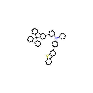 c1ccc(N(c2ccc(-c3ccc4c(c3)sc3ccccc34)cc2)c2cccc(-c3ccc4c(c3)-c3ccccc3C4(c3ccccc3)c3ccccc3)c2)cc1